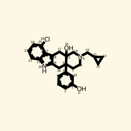 Oc1cccc(C23CCN(CC4CC4)CC2(O)Cc2c([nH]c4cccc(Cl)c24)C3)c1